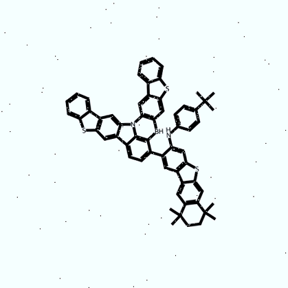 CC(C)(C)c1ccc(Nc2cc3sc4cc5c(cc4c3cc2-c2ccc3c4cc6sc7ccccc7c6cc4n4c3c2Bc2cc3sc6ccccc6c3cc2-4)C(C)(C)CCC5(C)C)cc1